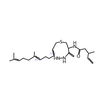 C=CC(C)CC(=O)NC1CSC/C=C(/CC/C=C(\C)CCC=C(C)C)NNC1=C